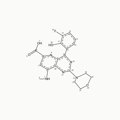 CNc1cc(C(=O)O)nc2c(-c3cccc(F)c3O)nc(N3CCOCC3)nc12